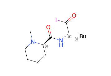 CC[C@H](C)[C@H](NC(=O)[C@H]1CCCCN1C)C(=O)I